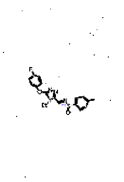 CCn1c(/C=N/[S+]([O-])c2ccc(C)cc2)nnc1Oc1ccc(F)cc1